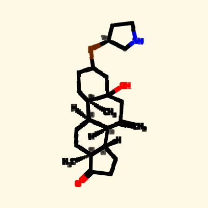 C=C1CC2(O)CC(S[C@H]3CCNC3)CC[C@]2(C)[C@@H]2CC[C@]3(C)C(=O)CC[C@H]3[C@H]12